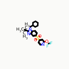 CC(C)(C)c1nc2cc(S(=O)(=O)c3ccnc(OC(F)F)c3)ccc2n1CC1CCCCC1